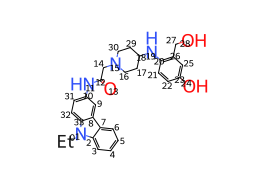 CCn1c2ccccc2c2cc(NC(=O)CN3CCC(Nc4ccc(O)cc4CO)CC3)ccc21